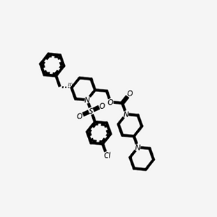 O=C(OCC1CC[C@@H](Cc2ccccc2)CN1S(=O)(=O)c1ccc(Cl)cc1)N1CCC(N2CCCCC2)CC1